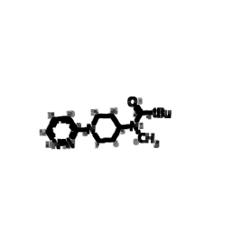 CN(C(=O)C(C)(C)C)C1CCN(c2cccnn2)CC1